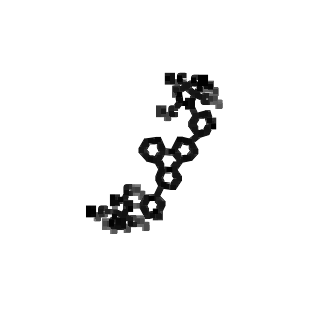 CC1=NC(C)(C)C(C)(C)N1c1cncc(-c2ccc3c4ccc(-c5cncc(N6C(C)=NC(C)(C)C6(C)C)c5)cc4c4ccccc4c3c2)c1